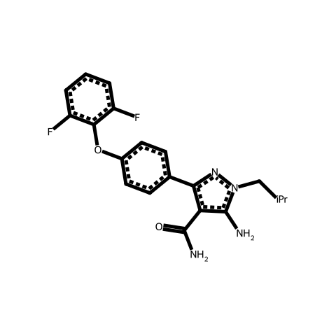 CC(C)Cn1nc(-c2ccc(Oc3c(F)cccc3F)cc2)c(C(N)=O)c1N